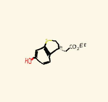 CCOC(=O)C[C@H]1CSc2cc(O)ccc21